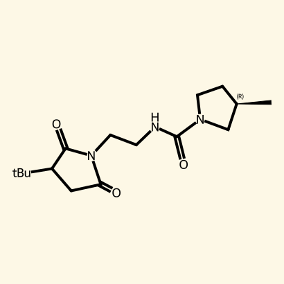 C[C@@H]1CCN(C(=O)NCCN2C(=O)CC(C(C)(C)C)C2=O)C1